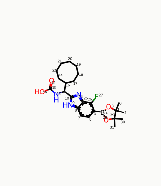 CC1(C)OB(c2ccc3[nH]c(C(NC(=O)O)C4CCCCCCC4)nc3c2F)OC1(C)C